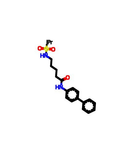 CC(C)S(=O)(=O)NCCCCC(=O)Nc1ccc(-c2ccccc2)cc1